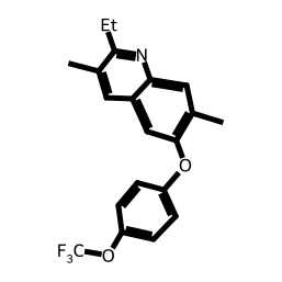 CCc1nc2cc(C)c(Oc3ccc(OC(F)(F)F)cc3)cc2cc1C